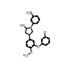 COc1ccc(C2CC(O)N(c3cccc(N)c3)C2)cc1Oc1cccc(Cl)c1